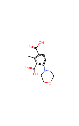 Cc1c(C(=O)O)ccc(N2CCOCC2)c1C(=O)O